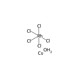 O.[Cl][Rh]([Cl])([Cl])([Cl])[Cl].[Cs]